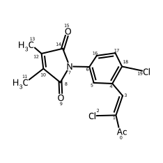 CC(=O)C(Cl)=Cc1cc(N2C(=O)C(C)=C(C)C2=O)ccc1Cl